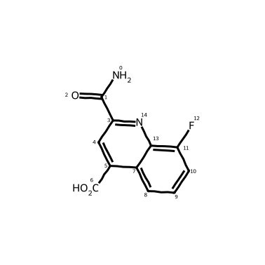 NC(=O)c1cc(C(=O)O)c2cccc(F)c2n1